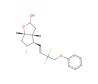 C[C@@H]1C[C@@H]2OC(O)C[C@@H]2[C@H]1/C=C/C(F)(F)COc1ccccc1